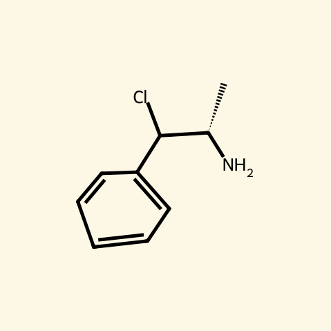 C[C@H](N)C(Cl)c1ccccc1